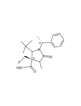 CC1C(=O)N([C@H](C)c2ccccc2)C(C(C)(C)C)[C@@]1(CF)C(=O)O